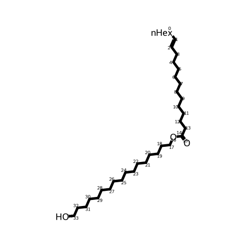 CCCCCCC=CCCCCCCCCCCCC(=O)OCCCCCCCCCCCCCCCCCO